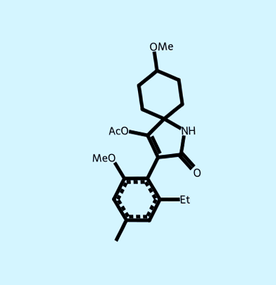 CCc1cc(C)cc(OC)c1C1=C(OC(C)=O)C2(CCC(OC)CC2)NC1=O